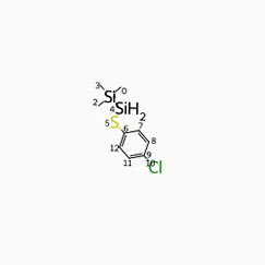 C[Si](C)(C)[SiH2]Sc1ccc(Cl)cc1